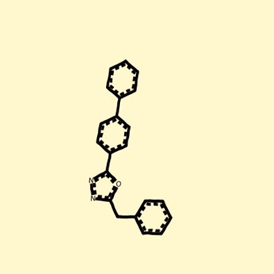 c1ccc(Cc2nnc(-c3ccc(-c4ccccc4)cc3)o2)cc1